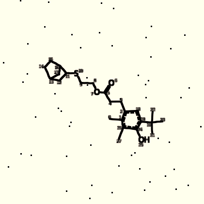 Cc1c(CCC(=O)OCCSC2CC3CCC2C3)cc(C(C)(C)C)c(O)c1C